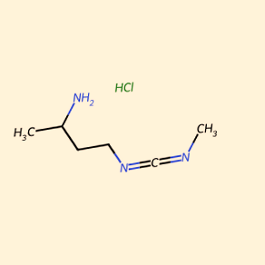 CN=C=NCCC(C)N.Cl